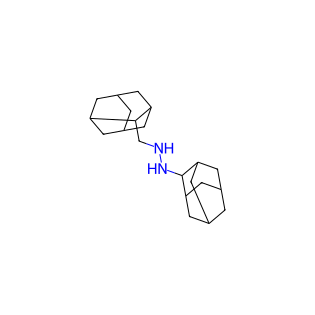 C1C2CC3CC1CC(C2)C3CNNC1C2CC3CC(C2)CC1C3